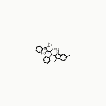 Cc1ccc2c(C)c(C(/C(C=O)=C(\O)[C@](C)(N)c3ccccc3)c3ccccc3)[nH]c2c1